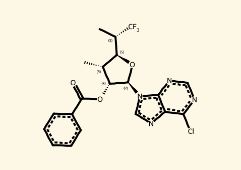 C[C@H]1[C@@H](OC(=O)c2ccccc2)[C@H](n2cnc3c(Cl)ncnc32)O[C@@H]1[C@H](C)C(F)(F)F